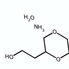 N.O.OCCC1COCCO1